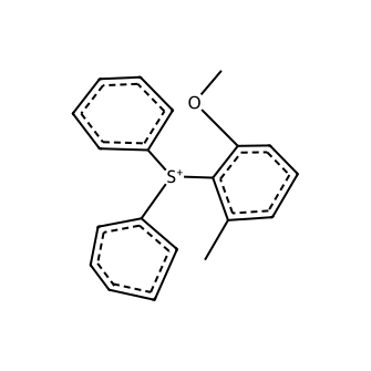 COc1cccc(C)c1[S+](c1ccccc1)c1ccccc1